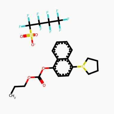 CCCOC(=O)Oc1ccc([S+]2CCCC2)c2ccccc12.O=S(=O)([O-])C(F)(F)C(F)(F)C(F)(F)C(F)(F)F